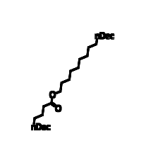 CCCCCCCCCCCCCCCCCCCOC(=O)CCCCCCCCCCCCC